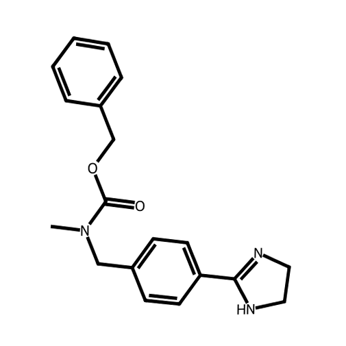 CN(Cc1ccc(C2=NCCN2)cc1)C(=O)OCc1ccccc1